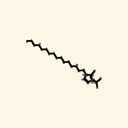 CCCCCCCCCCCCCCCCn1cc[n+](C(C)C)c1C